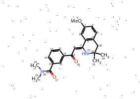 COc1ccc2c(c1)C(=CC(=O)c1cccc(C(=O)N(C)C)c1)NC(C)(C)C2